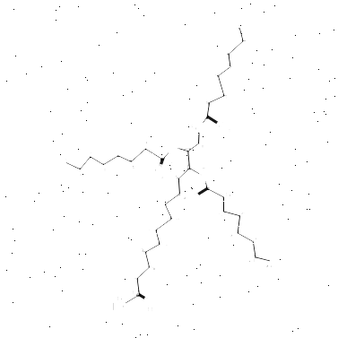 CCCCCCCC(=O)OCC(OC(=O)CCCCCCC)C(CCCCCCCCCC(=O)O)OC(=O)CCCCCCC